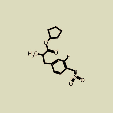 CC(Cc1ccc(C[SH](=O)=O)c(F)c1)C(=O)OC1CCCC1